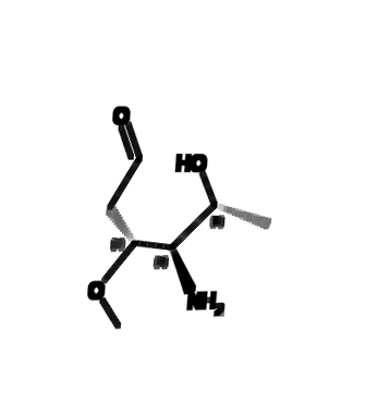 CO[C@H](CC=O)[C@H](N)[C@@H](C)O